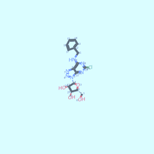 OC[C@H]1O[C@@H](n2nnc3c(NCc4ccccc4)nc(Cl)nc32)[C@H](O)[C@@H]1O